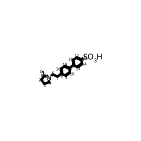 C[C@@H]1CCCN1CCc1ccc(-c2ccc(S(=O)(=O)O)cc2)cc1